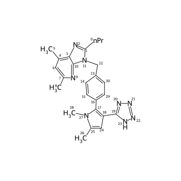 CCCc1nc2c(C)cc(C)nc2n1Cc1ccc(-c2c(-c3nnn[nH]3)cc(C)n2C)cc1